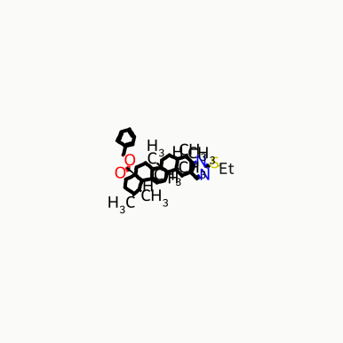 CCSc1ncc2c(n1)C(C)(C)[C@@H]1CC[C@]3(C)[C@H](CC=C4[C@@H]5[C@@H](C)[C@H](C)CC[C@]5(C(=O)OCc5ccccc5)CC[C@]43C)[C@@]1(C)C2